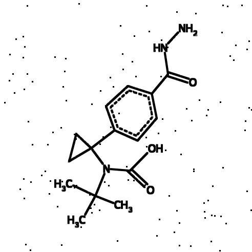 CC(C)(C)N(C(=O)O)C1(c2ccc(C(=O)NN)cc2)CC1